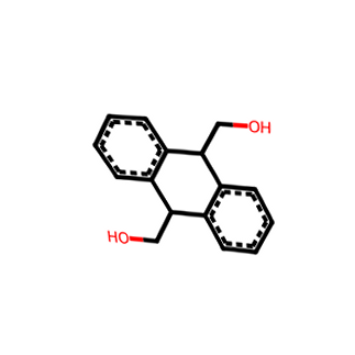 OCC1c2ccccc2C(CO)c2ccccc21